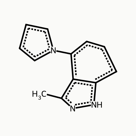 Cc1n[nH]c2cccc(-n3cccc3)c12